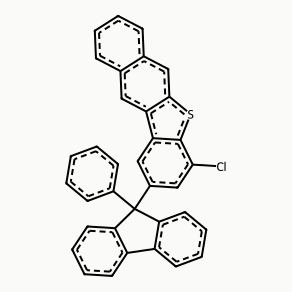 Clc1cc(C2(c3ccccc3)c3ccccc3-c3ccccc32)cc2c1sc1cc3ccccc3cc12